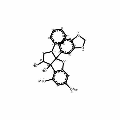 COc1cc(OC)c2c(c1)OC1(c3ccc4c(c3)OCO4)C(c3ccccc3)CC(O)C21O